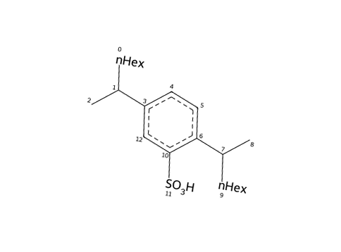 CCCCCCC(C)c1ccc(C(C)CCCCCC)c(S(=O)(=O)O)c1